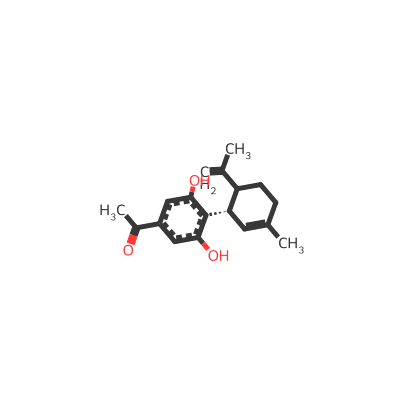 C=C(C)C1CCC(C)=C[C@@H]1c1c(O)cc(C(C)=O)cc1O